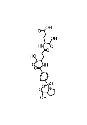 O=C(O)CCC(NC(=O)CCC(NC(=O)c1ccc(S(=O)(=O)N2CCCC2C(=O)O)cc1)C(=O)O)C(=O)O